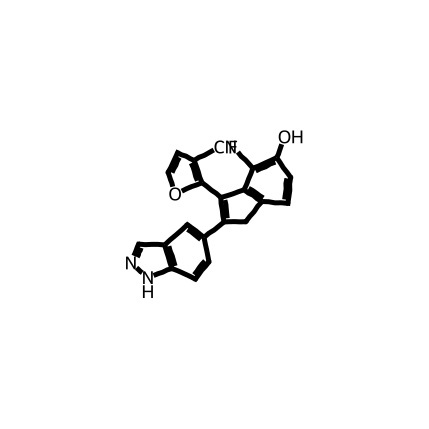 N#Cc1ccoc1C1=C(c2ccc3[nH]ncc3c2)Cc2ccc(O)c(F)c21